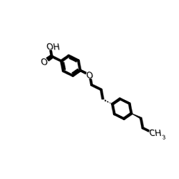 CCC[C@H]1CC[C@H](CCCOc2ccc(C(=O)O)cc2)CC1